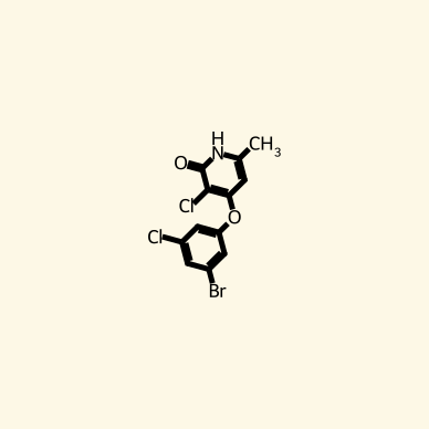 Cc1cc(Oc2cc(Cl)cc(Br)c2)c(Cl)c(=O)[nH]1